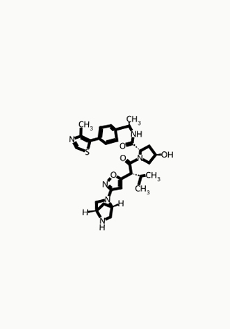 Cc1ncsc1-c1ccc([C@H](C)NC(=O)[C@@H]2C[C@@H](O)CN2C(=O)[C@@H](c2cc(N3C[C@@H]4C[C@H]3CN4)no2)C(C)C)cc1